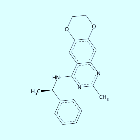 Cc1nc(N[C@H](C)c2ccccc2)c2cc3c(cc2n1)OCCO3